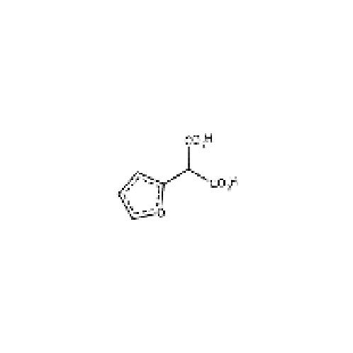 O=C(O)C(C(=O)O)c1ccco1